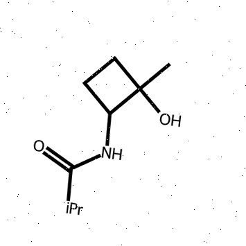 CC(C)C(=O)NC1CCC1(C)O